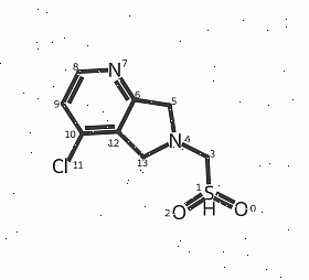 O=[SH](=O)CN1Cc2nccc(Cl)c2C1